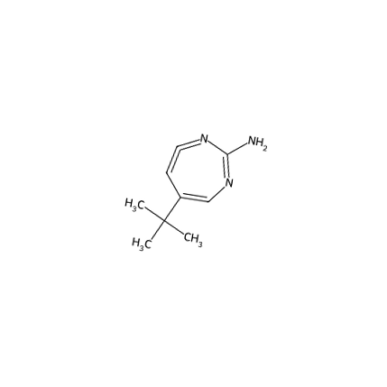 CC(C)(C)C1=CN=C(N)N=C=C1